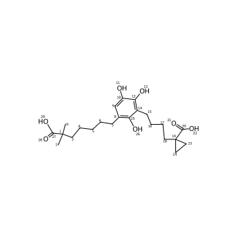 CC(C)(CCCCCc1cc(O)c(O)c(CCCCC2(C(=O)O)CC2)c1O)C(=O)O